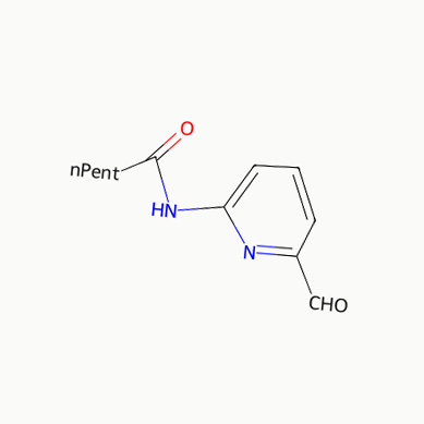 CCCCCC(=O)Nc1cccc(C=O)n1